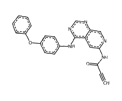 C#CC(=O)Nc1cc2c(Nc3ccc(Oc4ccccc4)cc3)ncnc2cn1